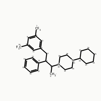 [CH2]C(C(Cc1cc(C(F)(F)F)cc(C(F)(F)F)c1)c1ccccc1)N1CCN(C2CCCCC2)CC1